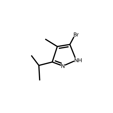 Cc1c(C(C)C)n[nH]c1Br